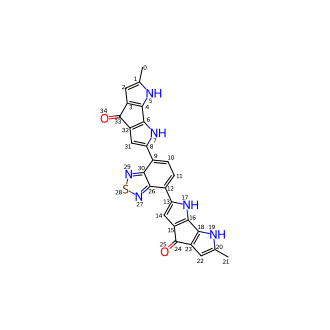 Cc1cc2c([nH]1)-c1[nH]c(-c3ccc(-c4cc5c([nH]4)-c4[nH]c(C)cc4C5=O)c4nsnc34)cc1C2=O